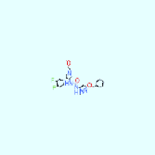 COCCN1C[C@@H](NC(=O)Nc2cc(OCc3ccccc3)nn2C)[C@H](c2ccc(F)c(F)c2)C1